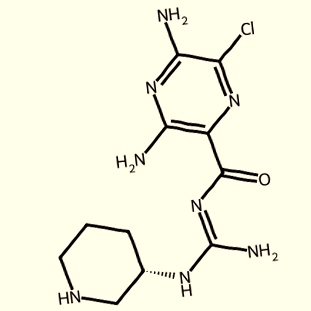 N/C(=N\C(=O)c1nc(Cl)c(N)nc1N)N[C@H]1CCCNC1